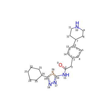 O=C(Cc1ccc(C2CCNCC2)cc1)Nc1nnc(C2CCCCC2)s1